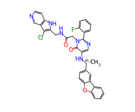 C[C@@H](Nc1cnc(-c2ccccc2F)n(CC(=O)NCc2[nH]c3ccncc3c2Cl)c1=O)c1ccc2oc3ccccc3c2c1